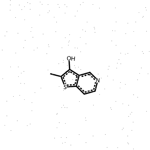 Cc1sc2ccncc2c1O